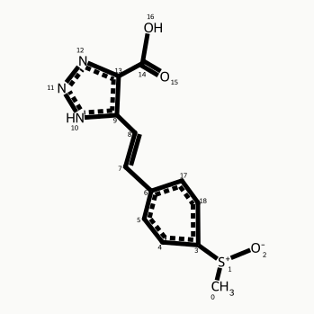 C[S+]([O-])c1ccc(C=Cc2[nH]nnc2C(=O)O)cc1